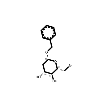 O[C@H]1[C@H](O)C[C@H](OCc2ccccc2)O[C@@H]1CBr